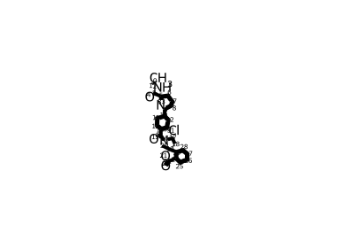 CCNC(=O)c1cccc(-c2ccc(C(=O)N3CC[C@@]4(C3)OC(=O)c3ccccc34)c(Cl)c2)n1